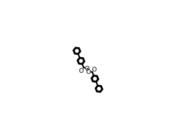 O=C(OOC(=O)c1ccc(-c2ccccc2)cc1)c1ccc(-c2ccccc2)cc1